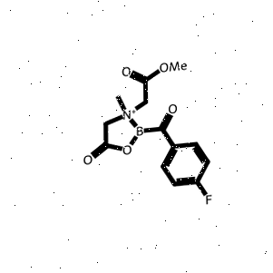 COC(=O)C[N+]1(C)CC(=O)OB1C(=O)c1ccc(F)cc1